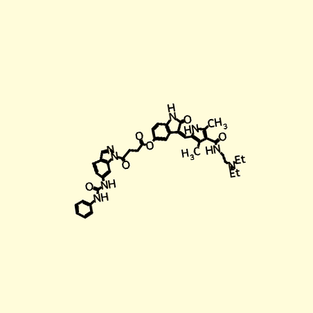 CCN(CC)CCNC(=O)c1c(C)[nH]c(/C=C2\C(=O)Nc3ccc(OC(=O)CCC(=O)n4ncc5ccc(NC(=O)Nc6ccccc6)cc54)cc32)c1C